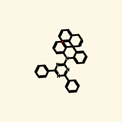 c1ccc(-c2nc(-c3ccccc3)nc(N3c4ccccc4C4(c5ccccc5Cc5ccccc54)c4ccccc43)n2)cc1